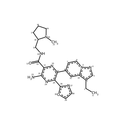 CCc1cnn2ccc(-c3nc(C(=O)NCC4CCCN4C)c(N)nc3-c3ncco3)cc12